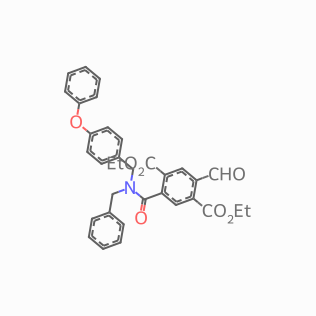 CCOC(=O)c1cc(C(=O)N(Cc2ccccc2)Cc2ccc(Oc3ccccc3)cc2)c(C(=O)OCC)cc1C=O